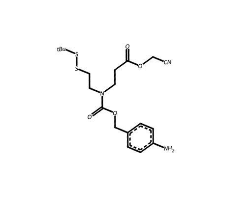 CC(C)(C)SSCCN(CCC(=O)OCC#N)C(=O)OCc1ccc(N)cc1